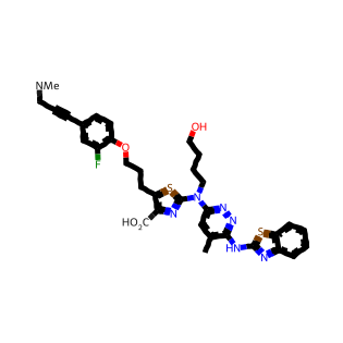 CNCC#Cc1ccc(OCCCc2sc(N(CCCCO)c3cc(C)c(Nc4nc5ccccc5s4)nn3)nc2C(=O)O)c(F)c1